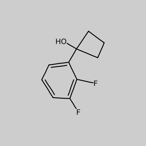 OC1(c2cccc(F)c2F)CCC1